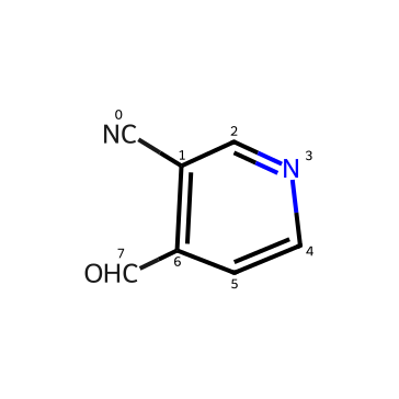 N#Cc1cnccc1C=O